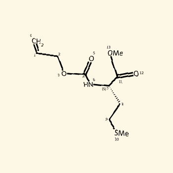 C=CCOC(=O)N[C@@H](CCSC)C(=O)OC